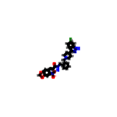 O=C(/C=C/c1cc2c(cc1[N+](=O)[O-])OCO2)NC[C@@H]1CCCC[C@H]1CN1CCC(c2n[nH]c3cc(F)ccc23)CC1